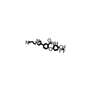 N#CCCn1cc(-c2ccc3c(c2)C(=O)Nc2cc(OC(F)(F)F)ccc2O3)cn1